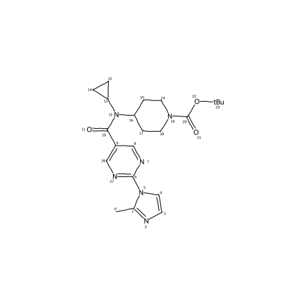 Cc1nccn1-c1ncc(C(=O)N(C2CC2)C2CCN(C(=O)OC(C)(C)C)CC2)cn1